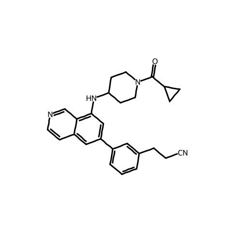 N#CCCc1cccc(-c2cc(NC3CCN(C(=O)C4CC4)CC3)c3cnccc3c2)c1